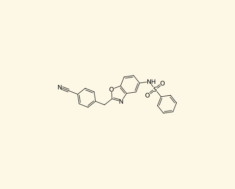 N#Cc1ccc(Cc2nc3cc(NS(=O)(=O)c4ccccc4)ccc3o2)cc1